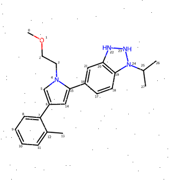 COCCn1cc(-c2ccccc2C)cc1-c1ccc2c(c1)NNN2C(C)C